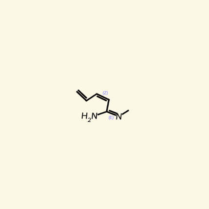 C=C/C=C\C(N)=N/C